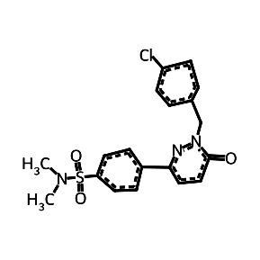 CN(C)S(=O)(=O)c1ccc(-c2ccc(=O)n(Cc3ccc(Cl)cc3)n2)cc1